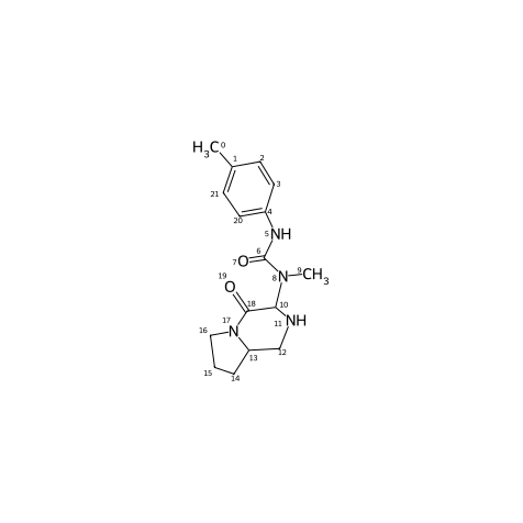 Cc1ccc(NC(=O)N(C)C2NCC3CCCN3C2=O)cc1